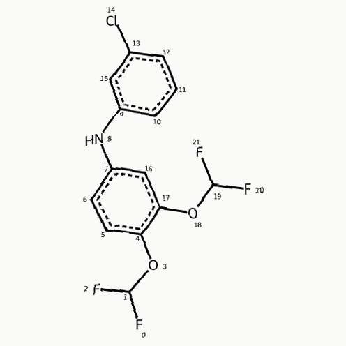 FC(F)Oc1ccc(Nc2cccc(Cl)c2)cc1OC(F)F